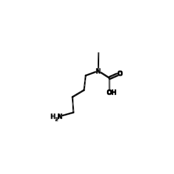 CN(CCCCN)C(=O)O